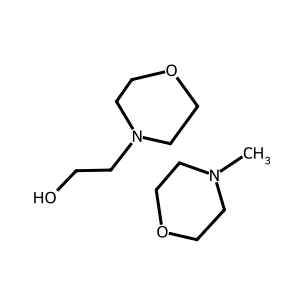 CN1CCOCC1.OCCN1CCOCC1